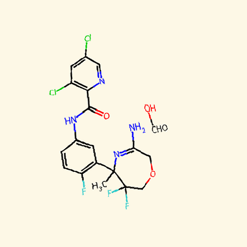 CC1(c2cc(NC(=O)c3ncc(Cl)cc3Cl)ccc2F)N=C(N)COCC1(F)F.O=CO